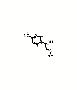 [CH2]CSCC(O)c1ccc(C#N)cc1